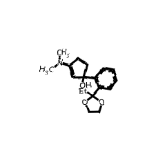 CCC1(c2ccccc2C2(O)C=C(N(C)C)CC2)OCCO1